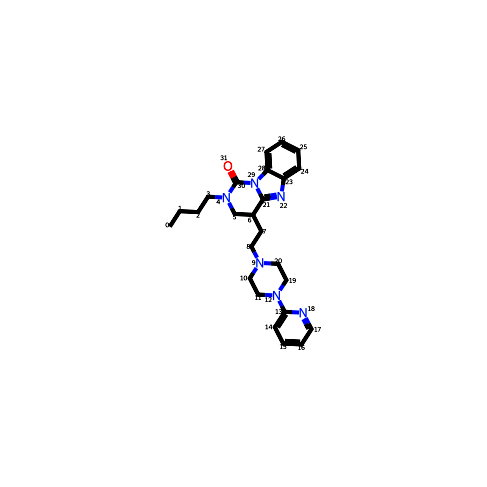 CCCCN1CC(CCN2CCN(c3ccccn3)CC2)c2nc3ccccc3n2C1=O